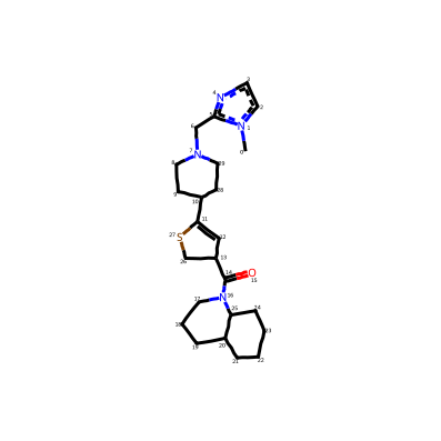 Cn1ccnc1CN1CCC(C2=CC(C(=O)N3CCCC4CCCCC43)CS2)CC1